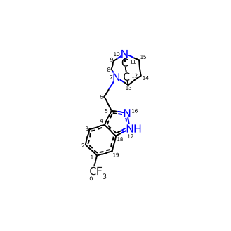 FC(F)(F)c1ccc2c(CN3CCN4CCC3CC4)n[nH]c2c1